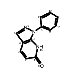 O=c1ccc2cnn(-c3ccccc3)c2[nH]1